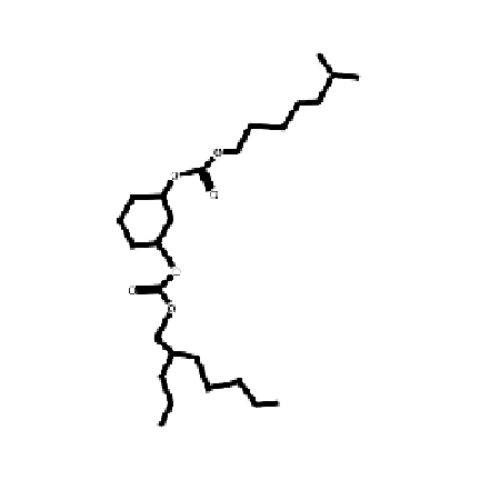 CCCCCC(CCC)COC(=O)OC1CCCC(OC(=O)OCCCCCC(C)C)C1